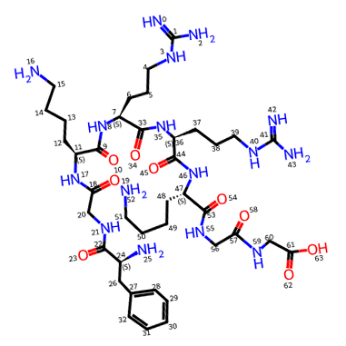 N=C(N)NCCC[C@H](NC(=O)[C@H](CCCCN)NC(=O)CNC(=O)[C@@H](N)Cc1ccccc1)C(=O)N[C@@H](CCCNC(=N)N)C(=O)N[C@@H](CCCCN)C(=O)NCC(=O)NCC(=O)O